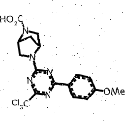 COc1ccc(-c2nc(N3CC4CC3CN4C(=O)O)nc(C(Cl)(Cl)Cl)n2)cc1